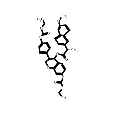 CCOC(=O)Oc1ccc(C2COc3cc(OC(=O)OCC)ccc3C2OC(=O)[C@@H](C)c2ccc3cc(OC)ccc3c2)cc1